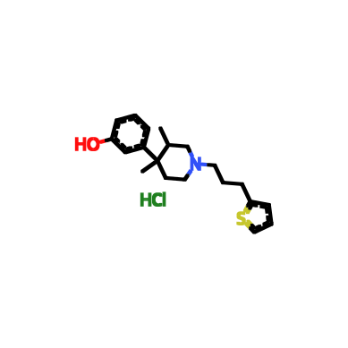 CC1CN(CCCc2cccs2)CCC1(C)c1cccc(O)c1.Cl